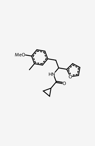 COc1ccc(CC(NC(=O)C2CC2)c2ccco2)cc1C